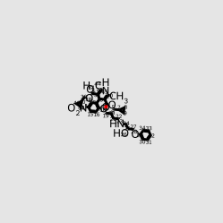 CC1=C(C(=O)OCC2CC2)C(c2cc([N+](=O)[O-])ccc2OCCCCNCC(O)COc2ccccc2)C(C(=O)OCC2CC2)=C(C)N1